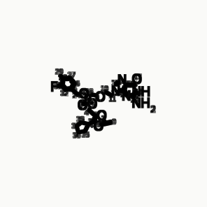 C=C1OC(COP(=O)(COCCn2cnc3c(=O)[nH]c(N)nc32)OCc2ccc(C)c(F)c2)=C(C2CCCC2)O1